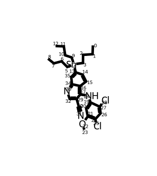 CCC[CH2][Sn]([CH2]CCC)([CH2]CCC)[c]1ccc2c(Nc3cc(OC)c(Cl)cc3Cl)c(C#N)cnc2c1